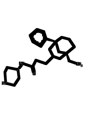 CC[C@@]12CCC[C@@](c3ccccc3)(CC(CCC(=O)NN3CCNCC3)C1)C2